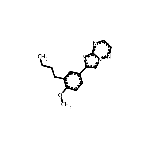 CCCCc1cc(-c2cn3nccnc3n2)ccc1OC